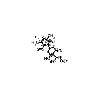 CCCC(=NOCC)C1=C(O)CC(c2c(C)c(C)c(C)c(C)c2C=S)CC1=O